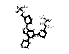 CCC[C@H](N[S+]([O-])C(C)(C)C)c1cccc(-c2cc(C3CCNCC3)c3cnn(-c4cccc(CO[Si](C)(C)C(C)(C)C)n4)c3c2)n1